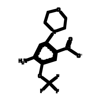 Nc1cc(N2CCOCC2)c([N+](=O)[O-])cc1OC(F)(F)F